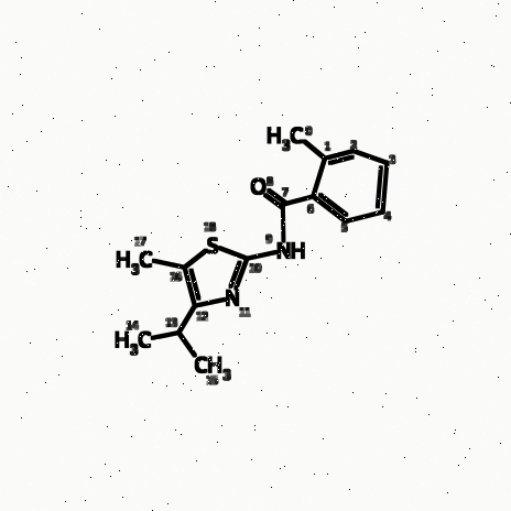 Cc1ccccc1C(=O)Nc1nc(C(C)C)c(C)s1